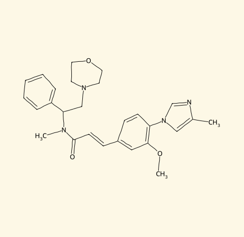 COc1cc(/C=C/C(=O)N(C)C(CN2CCOCC2)c2ccccc2)ccc1-n1cnc(C)c1